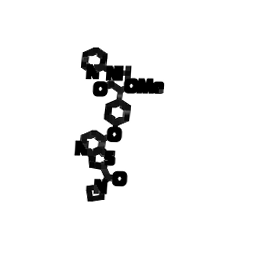 COC(C(=O)Nc1ccccn1)c1ccc(Oc2ccnc3cc(C(=O)N4CCC4)sc23)cc1